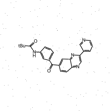 CC(C)(C)C(=O)Nc1cccc(C(=O)c2ccc3ncc(-c4cccnc4)nc3c2)c1